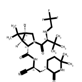 CC1(C)CC[C@@H](C[C@@H](C#N)NC(=O)[C@@H]2[C@@H]3[C@H](CN2C(=O)[C@@H](NCC(F)(F)F)C(C)(C)C)C3(C)C)C(=O)N1